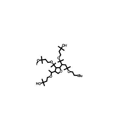 CC(OCCC(C)(C)O)C1COC(C(CC(C)(C)OCCC(C)(C)C)C(C)(C)OCCC(C)(C)O)C1C(C)(C)OCCC(C)(C)OI